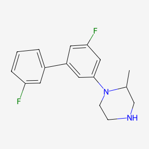 CC1CNCCN1c1cc(F)cc(-c2cccc(F)c2)c1